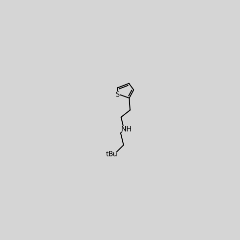 CC(C)(C)CCNCCc1cccs1